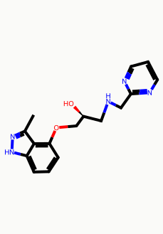 Cc1n[nH]c2cccc(OC[C@@H](O)CNCc3ncccn3)c12